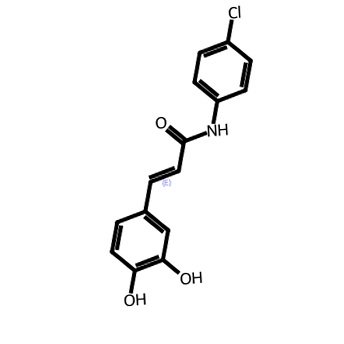 O=C(/C=C/c1ccc(O)c(O)c1)Nc1ccc(Cl)cc1